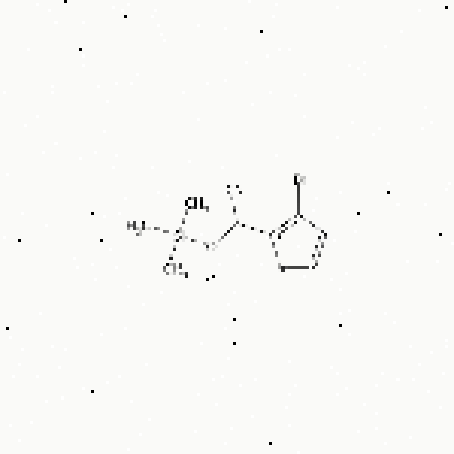 C[Si](C)(C)OC(C#N)c1sccc1Br